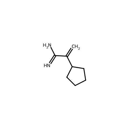 C=C(C(=N)N)C1CCCC1